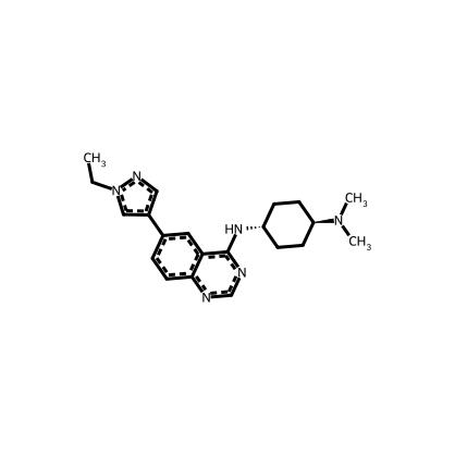 CCn1cc(-c2ccc3ncnc(N[C@H]4CC[C@H](N(C)C)CC4)c3c2)cn1